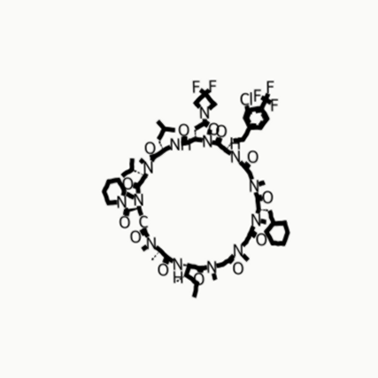 CC[C@H](C)[C@@H]1NC(=O)[C@H](C)N(C)C(=O)C[C@@H](C(=O)N2CCCCC2)N(C)C(=O)[C@H](C(C)C)N(C)C(=O)[C@H](CC(C)C)NC(=O)[C@H](CC(=O)N2CC(F)(F)C2)N(C)C(=O)[C@H](CCc2ccc(C(F)(F)F)c(Cl)c2)NC(=O)CN(C)C(=O)[C@H](CC2CCCCC2)N(C)C(=O)CN(C)C(=O)CN(C)C1=O